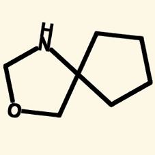 C1CCC2(C1)COCN2